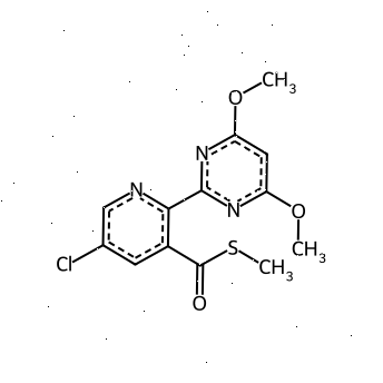 COc1cc(OC)nc(-c2ncc(Cl)cc2C(=O)SC)n1